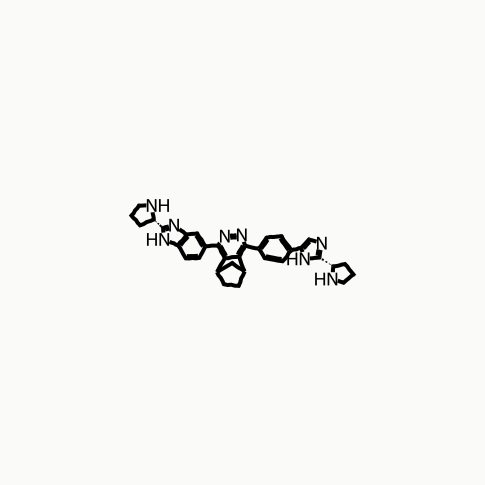 c1cc(-c2nnc(-c3ccc4[nH]c([C@@H]5CCCN5)nc4c3)c3c2C2CCC3C2)ccc1-c1cnc([C@@H]2CCCN2)[nH]1